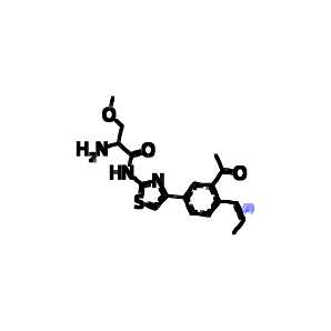 C/C=C\c1ccc(-c2csc(NC(=O)C(N)COC)n2)cc1C(C)=O